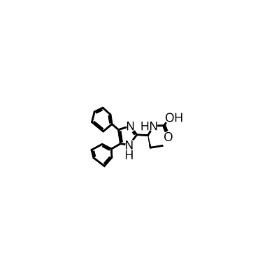 CC[C@H](NC(=O)O)c1nc(-c2ccccc2)c(-c2ccccc2)[nH]1